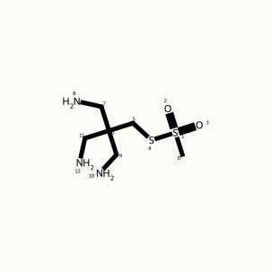 CS(=O)(=O)SCC(CN)(CN)CN